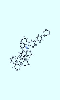 c1ccc(-c2ccc(-c3ccc(N(c4cccc5ccccc45)c4cccc5c(-c6cccc7c6C6(c8ccccc8-c8ccccc86)c6ccccc6-7)cccc45)cc3)cc2)cc1